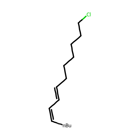 CCCC/C=C\C=C\CCCCCCCl